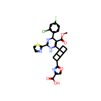 COC(=O)C1=C(C23C4C5C2C2C3C4C52c2nc(C(=O)O)co2)NC(c2nccs2)=NC1c1ccc(F)cc1Cl